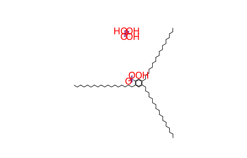 CCCCCCCCCCCCCCCCCCc1cc(CCCCCCCCCCCCCCCCCC)c(I(=O)=O)c(O)c1CCCCCCCCCCCCCCCCCC.O=P(O)(O)O